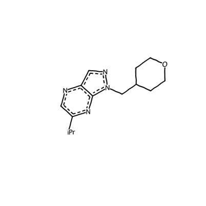 CC(C)c1cnc2cnn(CC3CCOCC3)c2n1